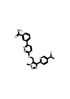 Cn1nnc(-c2ccc(C(F)F)cn2)c1COc1ccc(-c2cccc(C(N)=O)c2)nn1